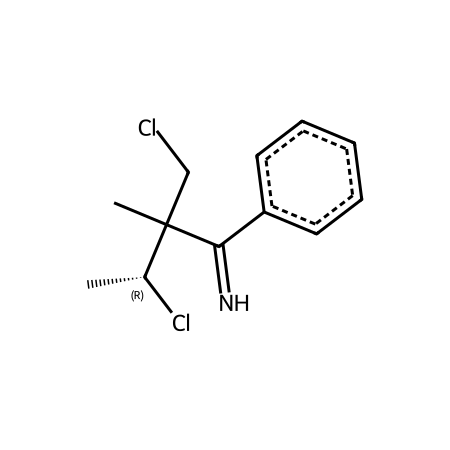 C[C@@H](Cl)C(C)(CCl)C(=N)c1ccccc1